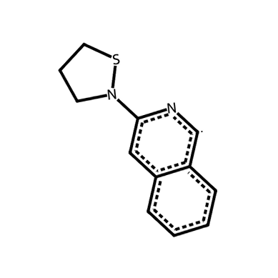 [c]1nc(N2CCCS2)cc2ccccc12